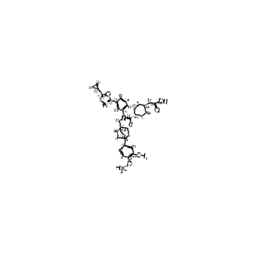 COc1ccc(C23CCC(CN(c4cccc(-c5nnc(C6CC6)o5)c4)C(=O)[C@H]4CC[C@H](CC(=O)O)CC4)(CC2)CC3)cc1C